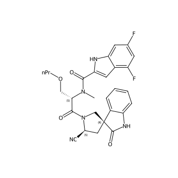 CCCOC[C@@H](C(=O)N1C[C@]2(C[C@H]1C#N)C(=O)Nc1ccccc12)N(C)C(=O)c1cc2c(F)cc(F)cc2[nH]1